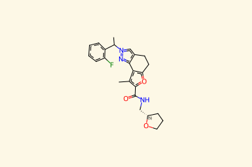 Cc1c(C(=O)NC[C@@H]2CCCO2)oc2c1-c1nn(C(C)c3ccccc3F)cc1CC2